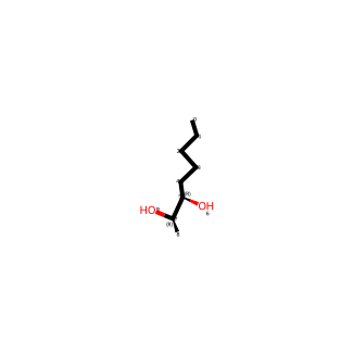 CCCCC[C@@H](O)[C@@H](C)O